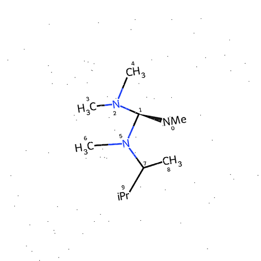 CN[C@H](N(C)C)N(C)C(C)C(C)C